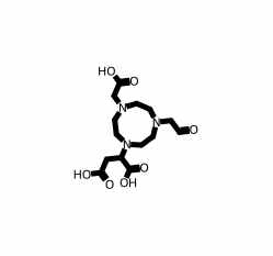 O=CCN1CCN(CC(=O)O)CCN(C(CC(=O)O)C(=O)O)CC1